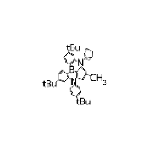 Cc1cc2c3c(c1)N(C1CC4CCC1C4)c1cc(C(C)(C)C)ccc1B3c1ccc(C(C)(C)C)cc1N2c1ccc(C(C)(C)C)cc1